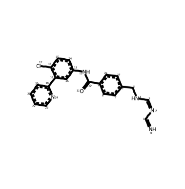 N=C/N=C\NCc1ccc(C(=O)Nc2ccc(Cl)c(-c3ccccn3)c2)cc1